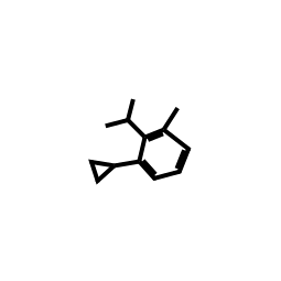 Cc1cccc(C2CC2)c1C(C)C